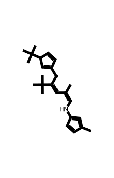 CC1=C=C(N/C=C(C)\C=C(/CC2=CC(C(C)(C)C)C=C2)C(C)(C)C)C=C1